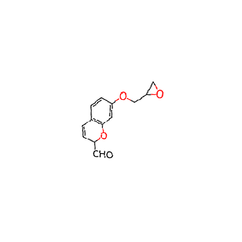 O=CC1C=Cc2ccc(OCC3CO3)cc2O1